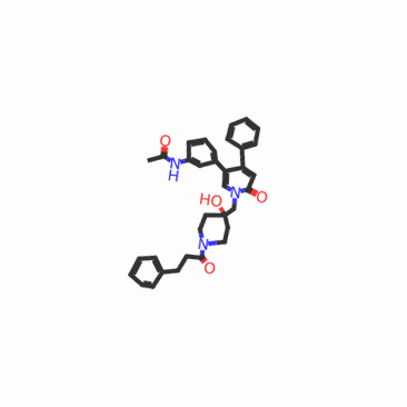 CC(=O)Nc1cccc(-c2cn(CC3(O)CCN(C(=O)CCc4ccccc4)CC3)c(=O)cc2-c2ccccc2)c1